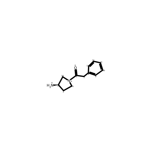 N[C@@H]1CCN(C(=O)Cc2ccccc2)C1